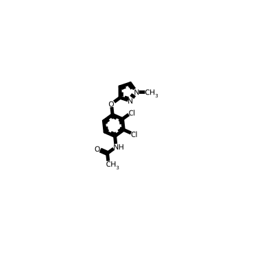 CC(=O)Nc1ccc(Oc2ccn(C)n2)c(Cl)c1Cl